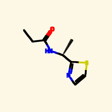 CCC(=O)N[C@H](C)c1nccs1